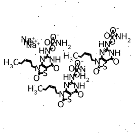 CC/C=C\Cn1c(=O)sc2c(=O)[nH]c(NOP(N)(=O)[O-])nc21.CC/C=C\Cn1c(=O)sc2c(=O)[nH]c(NOP(N)(=O)[O-])nc21.CC/C=C\Cn1c(=O)sc2c(=O)[nH]c(NOP(N)(=O)[O-])nc21.[Na+].[Na+].[Na+]